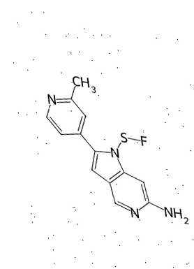 Cc1cc(-c2cc3cnc(N)cc3n2SF)ccn1